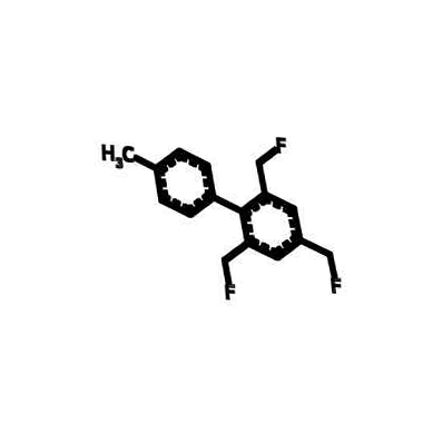 Cc1ccc(-c2c(CF)cc(CF)cc2CF)cc1